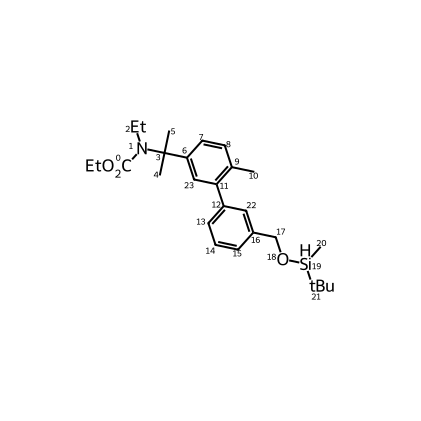 CCOC(=O)N(CC)C(C)(C)c1ccc(C)c(-c2cccc(CO[SiH](C)C(C)(C)C)c2)c1